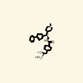 CN1CCC([C@@H](CNC(=O)c2ccc(C[C@H](N)C(=O)O)cc2)c2ccc(-c3ccccc3)cc2)CC1